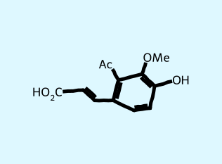 COc1c(O)ccc(C=CC(=O)O)c1C(C)=O